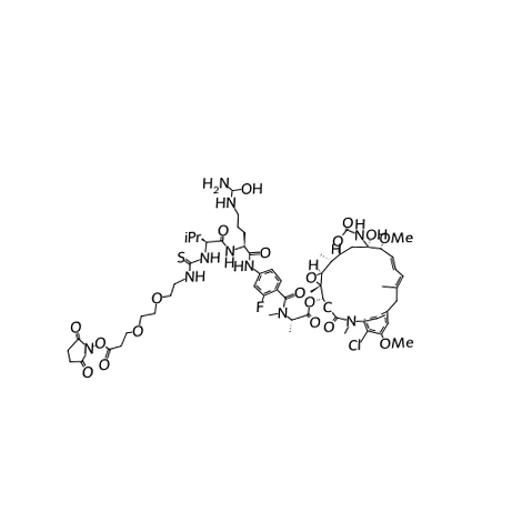 COc1cc2cc(c1Cl)N(C)C(=O)C[C@H](OC(=O)[C@H](C)N(C)C(=O)c1ccc(NC(=O)[C@H](CCCNC(N)O)NC(=O)[C@@H](NC(=S)NCCOCCOCCC(=O)ON3C(=O)CCC3=O)C(C)C)cc1F)[C@]1(C)O[C@H]1[C@H](C)[C@@H]1C[C@@](O)(NC(=O)O1)[C@H](OC)/C=C/C=C(\C)C2